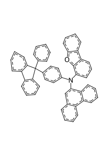 c1ccc(C2(c3ccc(N(c4cc5ccccc5c5ccccc45)c4cccc5c4oc4ccccc45)cc3)c3ccccc3-c3ccccc32)cc1